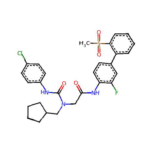 CS(=O)(=O)c1ccccc1-c1ccc(NC(=O)CN(CC2CCCC2)C(=O)Nc2ccc(Cl)cc2)c(F)c1